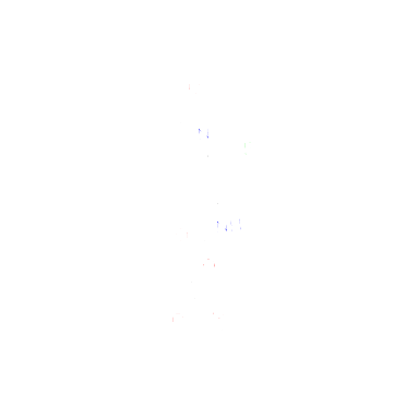 COC(COC(=O)Nc1ccc(N2CCOCC2)c(F)c1)OC